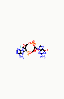 Nc1nc2c(ncn2C2OC3OPCC4C(CO[PH](=O)OC2C3O)OC4(F)n2cnc3c(N)ncnc32)c(=O)[nH]1